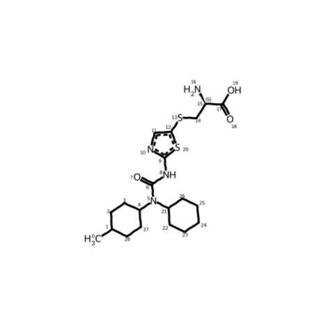 CC1CCC(N(C(=O)Nc2ncc(SC[C@@H](N)C(=O)O)s2)C2CCCCC2)CC1